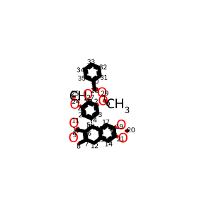 COc1cc([C@H]2C3=C(COC3=O)Cc3cc4c(cc32)OCO4)cc(OC)c1OC(=O)c1ccccc1